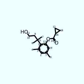 Cc1cc(C)c(C(C)(C)CCO)c(OC(=O)C2CC2)c1